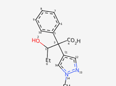 CCC(O)C(C(=O)O)(c1ccccc1)c1cnn(C)c1